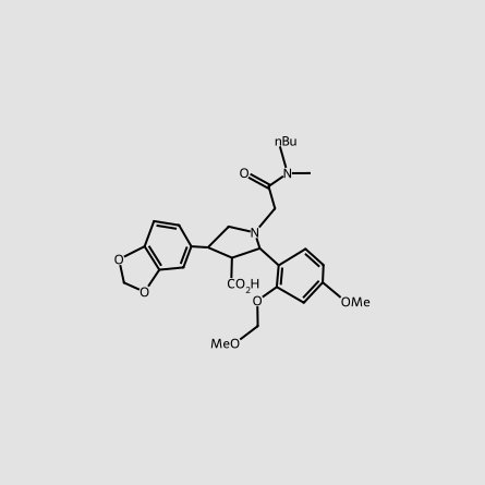 CCCCN(C)C(=O)CN1CC(c2ccc3c(c2)OCO3)C(C(=O)O)C1c1ccc(OC)cc1OCOC